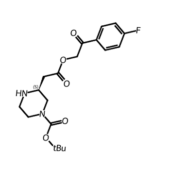 CC(C)(C)OC(=O)N1CCN[C@@H](CC(=O)OCC(=O)c2ccc(F)cc2)C1